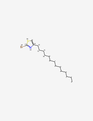 CCCCCCCCCCCCCCc1csc(Br)n1